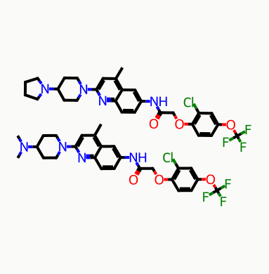 Cc1cc(N2CCC(N(C)C)CC2)nc2ccc(NC(=O)COc3ccc(OC(F)(F)F)cc3Cl)cc12.Cc1cc(N2CCC(N3CCCC3)CC2)nc2ccc(NC(=O)COc3ccc(OC(F)(F)F)cc3Cl)cc12